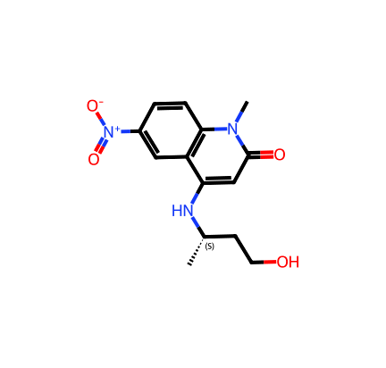 C[C@@H](CCO)Nc1cc(=O)n(C)c2ccc([N+](=O)[O-])cc12